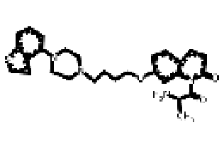 CC(N)C(=O)n1c(=O)ccc2ccc(OCCCCN3CCN(c4cccc5sccc45)CC3)cc21